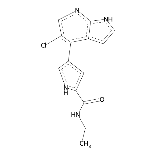 CCNC(=O)c1cc(-c2c(Cl)cnc3[nH]ccc23)c[nH]1